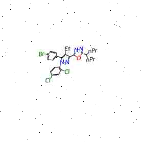 CCCC(CCC)c1nnc(-c2nn(-c3ccc(Cl)cc3Cl)c(-c3ccc(Br)cc3)c2CC)o1